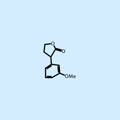 COc1cccc(C2CCOC2=O)c1